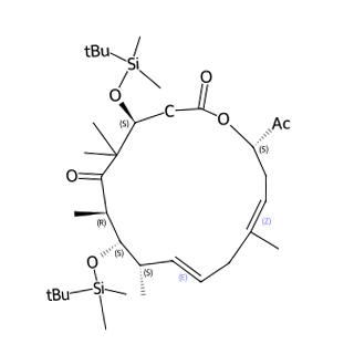 CC(=O)[C@@H]1C/C=C(/C)C/C=C/[C@H](C)[C@H](O[Si](C)(C)C(C)(C)C)[C@@H](C)C(=O)C(C)(C)[C@@H](O[Si](C)(C)C(C)(C)C)CC(=O)O1